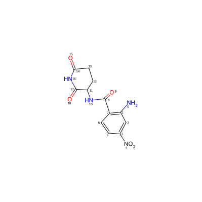 Nc1cc([N+](=O)[O-])ccc1C(=O)NC1CCC(=O)NC1=O